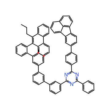 CCCc1c(-c2ccccc2-c2cc(-c3cccc(-c4cccc(-c5nc(-c6ccccc6)nc(-c6ccc(-c7ccc8c(c7)-c7cccc9cccc-8c79)cc6)n5)c4)c3)ccc2C)c2ccccc2c2ccccc12